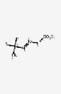 CCOC(=O)ON=NC(C)(C)C#N